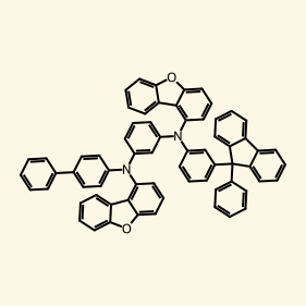 c1ccc(-c2ccc(N(c3cccc(N(c4cccc(C5(c6ccccc6)c6ccccc6-c6ccccc65)c4)c4cccc5oc6ccccc6c45)c3)c3cccc4oc5ccccc5c34)cc2)cc1